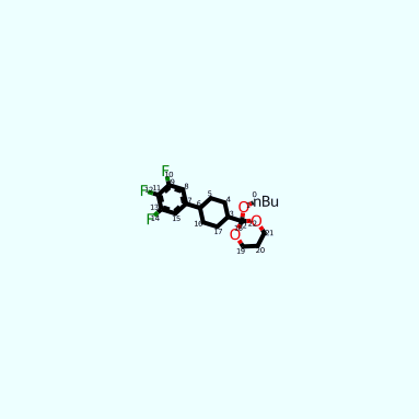 CCCCOC1(C2CCC(c3cc(F)c(F)c(F)c3)CC2)OCCCO1